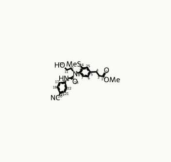 COC(=O)CCc1ccc(N(CCO)C(=O)Nc2ccc(C#N)cc2)c(SC)c1